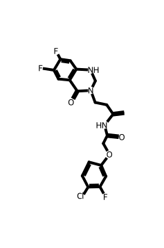 C=C(CCN1CNc2cc(F)c(F)cc2C1=O)NC(=O)COc1ccc(Cl)c(F)c1